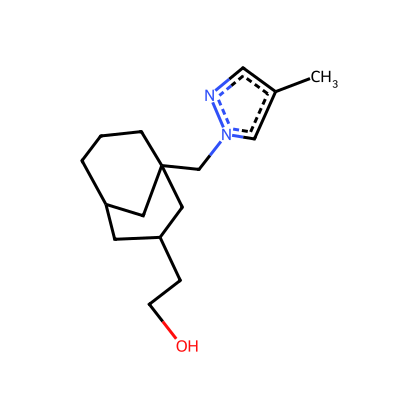 Cc1cnn(CC23CCCC(CC(CCO)C2)C3)c1